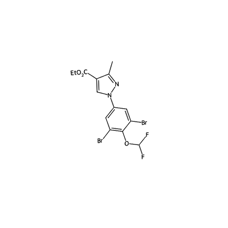 CCOC(=O)c1cn(-c2cc(Br)c(OC(F)F)c(Br)c2)nc1C